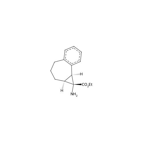 CCOC(=O)[C@]1(N)[C@@H]2c3ccccc3CCC[C@@H]21